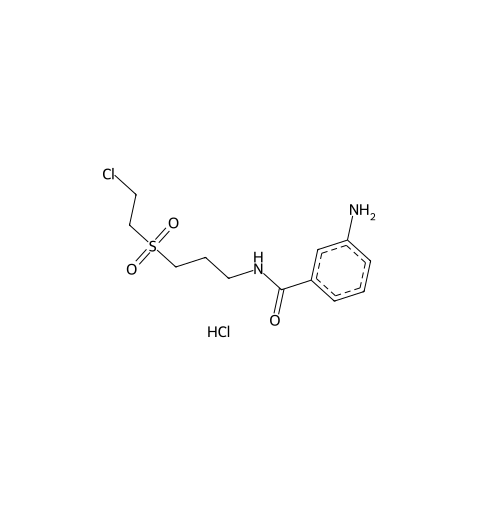 Cl.Nc1cccc(C(=O)NCCCS(=O)(=O)CCCl)c1